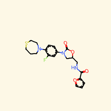 O=C(NCC1CN(c2ccc(N3CCCSCC3)c(F)c2)C(=O)O1)c1ccco1